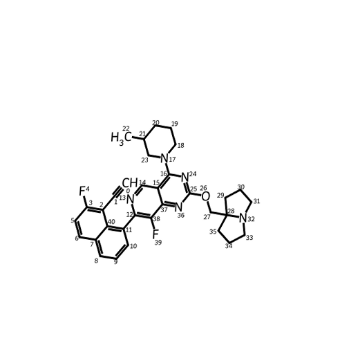 C#Cc1c(F)ccc2cccc(-c3ncc4c(N5CCCC(C)C5)nc(OCC56CCCN5CCC6)nc4c3F)c12